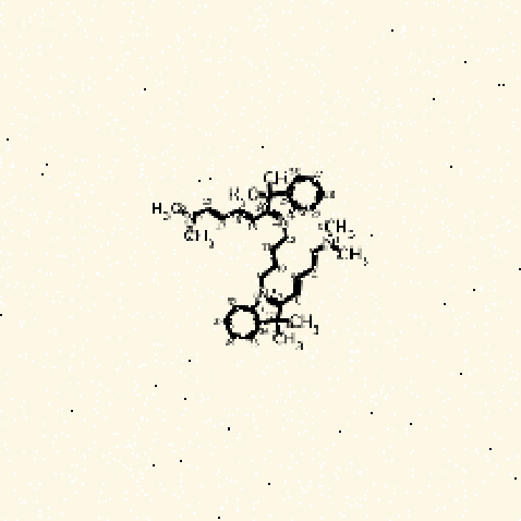 CN(C)C=CC=CC1=[N+](CCCC[N+]2=C(C=CC=CN(C)C)C(C)(C)c3ccccc32)c2ccccc2C1(C)C